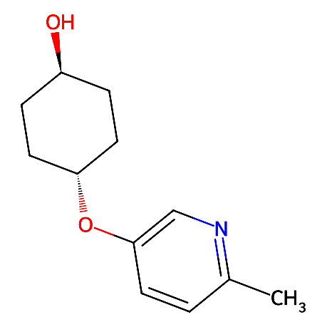 Cc1ccc(O[C@H]2CC[C@H](O)CC2)cn1